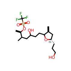 C=C(OS(=O)(=O)C(F)(F)F)C(C)CC(O)CCC1O[C@@H](CCCO)CC1=C